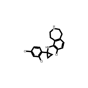 Clc1ccc(C2(Nc3c(Cl)ccc4c3CCNCC4)CC2)c(Cl)c1